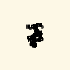 C[C@@H]1CN([C@H]2C[C@@H](c3ncc(CCC(=O)O)s3)N(C(=O)Cc3cc(Cl)c(NC(=O)c4coc5ccccc45)cc3F)C2)C[C@H](C)O1